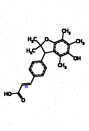 Cc1c(C)c2c(c(C)c1O)C(c1ccc(/C=C/C(=O)O)cc1)C(C)(C)O2